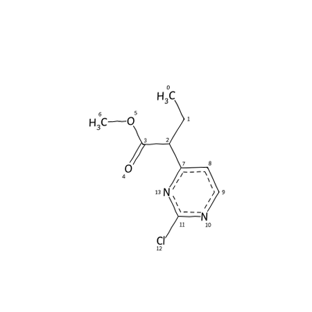 CCC(C(=O)OC)c1ccnc(Cl)n1